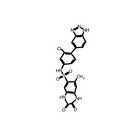 Cc1cc2[nH]c(=O)c(=O)[nH]c2cc1S(=O)(=O)Nc1ccc(-c2ccc3[nH]nnc3c2)c(Cl)c1